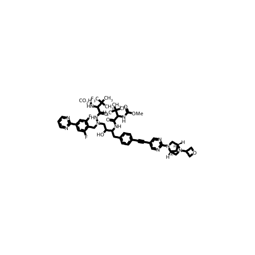 COC(=O)NC(C(=O)NC(Cc1ccc(C#Cc2cnc(N3C[C@H]4C[C@@H]3CN4C3COC3)nc2)cc1)C(O)CN(Cc1c(F)cc(-c2ncccn2)cc1F)NC(=O)C(NC(=O)O)C(C)(C)C(F)(F)F)C(C)(C)C(F)(F)F